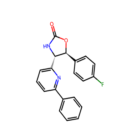 O=C1N[C@@H](c2cccc(-c3ccccc3)n2)[C@H](c2ccc(F)cc2)O1